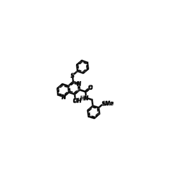 CSc1ccccc1CNC(=O)c1nc(Sc2ccccc2)c2cccnc2c1O